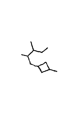 CCC(C)C(C)CC1CC(C)C1